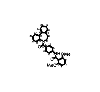 COc1cccc(OC)c1C(=O)Nc1ccc(C(=O)N2CCc3ccccc3-c3ccccc32)cc1